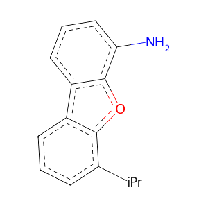 CC(C)c1cccc2c1oc1c(N)cccc12